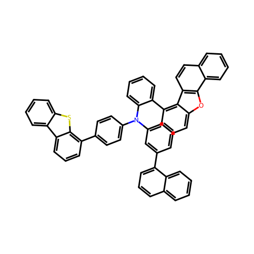 c1cc(-c2cccc3ccccc23)cc(N(c2ccc(-c3cccc4c3sc3ccccc34)cc2)c2ccccc2-c2cccc3oc4c5ccccc5ccc4c23)c1